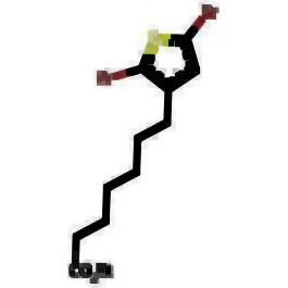 CCOC(=O)CCCCCCc1cc(Br)sc1Br